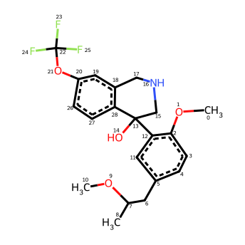 COc1ccc(CC(C)OC)cc1C1(O)CNCc2cc(OC(F)(F)F)ccc21